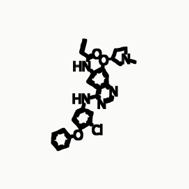 C=CC(=O)Nc1cc2c(Nc3ccc(Oc4ccccc4)c(Cl)c3)ncnc2cc1O[C@@H]1CCN(C)C1